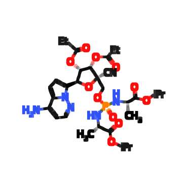 CCC(=O)O[C@H]1[C@H](c2ccc3c(N)ccnn23)O[C@](C#N)(COP(=O)(N[C@@H](C)C(=O)OC(C)C)N[C@@H](C)C(=O)OC(C)C)[C@H]1OC(=O)CC